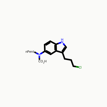 CCCCCN(C(=O)O)c1ccc2[nH]cc(CCCCl)c2c1